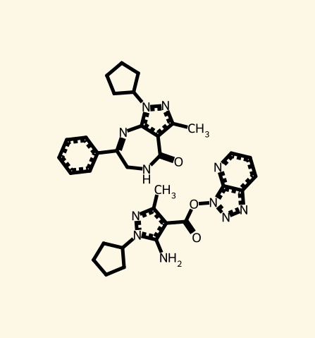 Cc1nn(C2CCCC2)c(N)c1C(=O)On1nnc2cccnc21.Cc1nn(C2CCCC2)c2c1C(=O)NCC(c1ccccc1)=N2